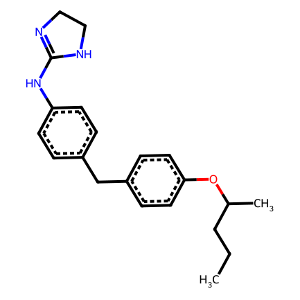 CCCC(C)Oc1ccc(Cc2ccc(NC3=NCCN3)cc2)cc1